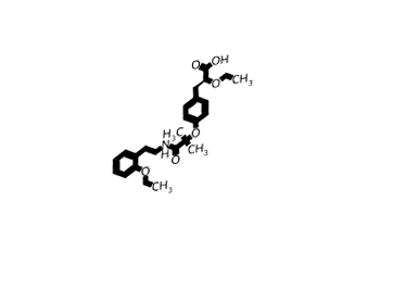 CCOc1ccccc1CCNC(=O)C(C)(C)Oc1ccc(C[C@H](OCC)C(=O)O)cc1